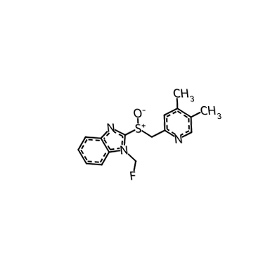 Cc1cnc(C[S+]([O-])c2nc3ccccc3n2CF)cc1C